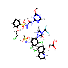 COc1nc(C)nc(NC(=O)NS(=O)(=O)c2ccccc2OCCCl)n1.Cc1nn(-c2cc(NS(C)(=O)=O)c(Cl)cc2Cl)c(=O)n1C(F)F.O=C(O)COc1ccc(Cl)c2cccnc12